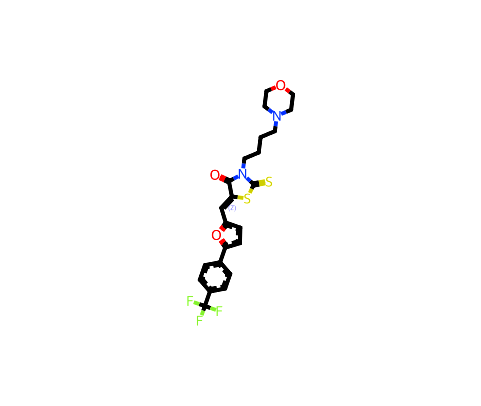 O=C1/C(=C/c2ccc(-c3ccc(C(F)(F)F)cc3)o2)SC(=S)N1CCCCN1CCOCC1